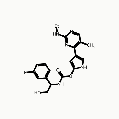 CCNc1ncc(C)c(-c2c[nH]c(OC(=O)NC(CO)c3cccc(F)c3)c2)n1